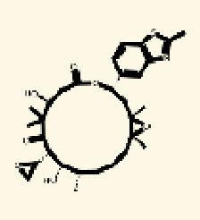 Cc1nc2cc([C@@H]3C[C@]4(C)O[C@]4(C)CCC[C@H](C)[C@H](O)[C@H](C4CO4)C(=O)C(C)(C)[C@@H](O)CC(=O)O3)ccc2s1